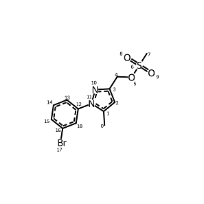 Cc1cc(COS(C)(=O)=O)nn1-c1cccc(Br)c1